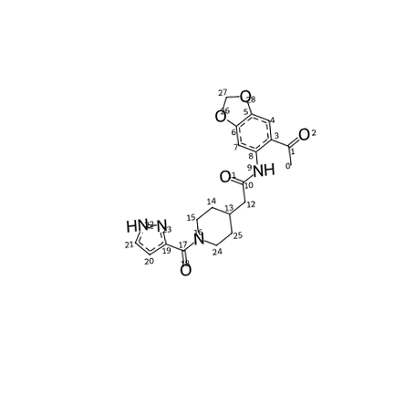 CC(=O)c1cc2c(cc1NC(=O)CC1CCN(C(=O)c3cc[nH]n3)CC1)OCO2